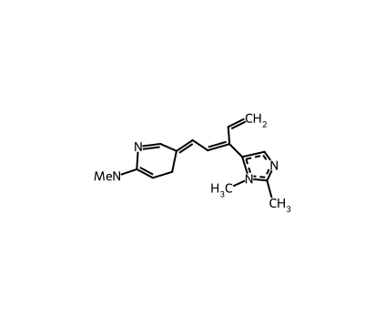 C=C/C(=C\C=C1\C=NC(NC)=CC1)c1cnc(C)n1C